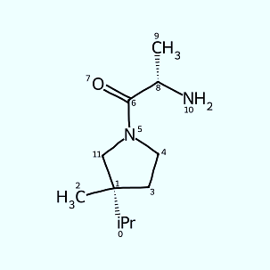 CC(C)[C@@]1(C)CCN(C(=O)[C@H](C)N)C1